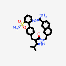 CC(C)c1[nH]n(Cc2ccc3ccc(C(=N)N)cc3c2)c(=O)c1Cc1ccc(-c2ccccc2S(N)(=O)=O)cc1